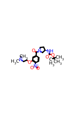 CN(C)CCOc1cc(C(=O)N2CC[C@@H](NC(=O)OC(C)(C)C)C2)ccc1[N+](=O)[O-]